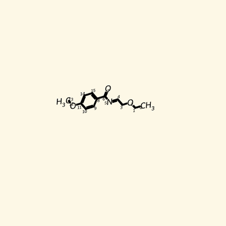 CCOCC=NC(=O)c1ccc(OC)cc1